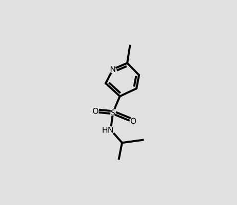 Cc1ccc(S(=O)(=O)NC(C)C)cn1